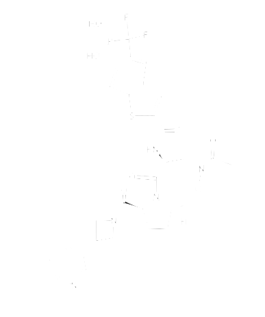 CC(=O)N1CC[C@H]2CC[C@@H](C(=O)N3CC(c4cccnc4)C3)N2C(=O)[C@@H](NC(=O)c2cc3cc(C(F)(F)P(O)O)ccc3s2)C1